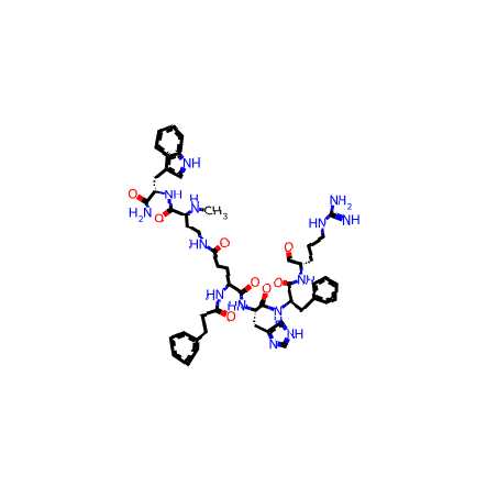 CNC(CCNC(=O)CCC(NC(=O)CCc1ccccc1)C(=O)N[C@@H](Cc1c[nH]cn1)C(=O)NC(Cc1ccccc1)C(=O)N[C@H](C=O)CCCNC(=N)N)C(=O)N[C@@H](Cc1c[nH]c2ccccc12)C(N)=O